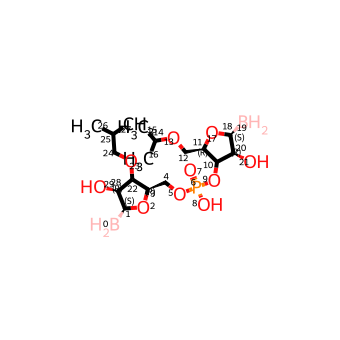 B[C@@H]1O[C@H](COP(=O)(O)OC2[C@@H](COC(C)C)O[C@@H](B)[C@H]2O)C(OCC(C)C)[C@@H]1O